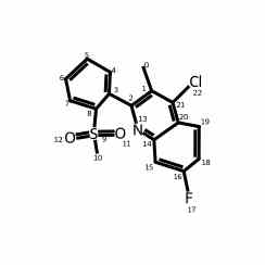 Cc1c(-c2ccccc2S(C)(=O)=O)nc2cc(F)ccc2c1Cl